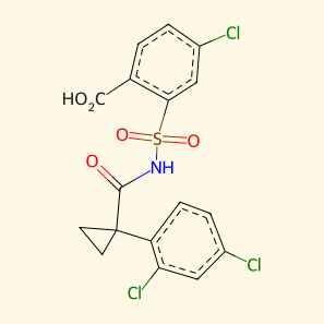 O=C(O)c1ccc(Cl)cc1S(=O)(=O)NC(=O)C1(c2ccc(Cl)cc2Cl)CC1